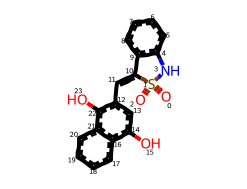 O=S1(=O)Nc2ccccc2C1=Cc1cc(O)c2ccccc2c1O